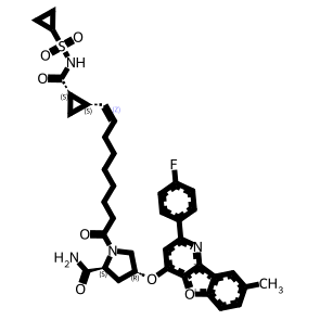 Cc1ccc2oc3c(O[C@@H]4C[C@@H](C(N)=O)N(C(=O)CCCCCC/C=C\[C@@H]5C[C@@H]5C(=O)NS(=O)(=O)C5CC5)C4)cc(-c4ccc(F)cc4)nc3c2c1